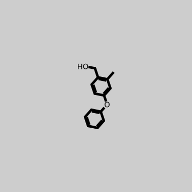 Cc1cc(Oc2ccccc2)ccc1CO